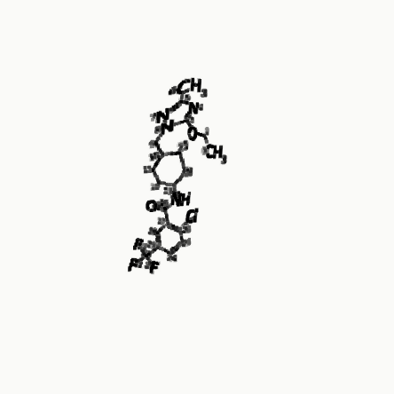 CCOc1nc(C)nn1CC1CCC(NC(=O)c2cc(C(F)(F)F)ccc2Cl)CC1